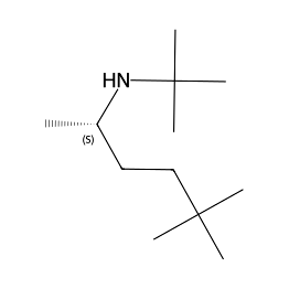 C[C@@H](CCC(C)(C)C)NC(C)(C)C